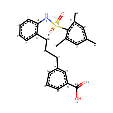 Cc1cc(C)c(S(=O)(=O)Nc2ccccc2CCCc2cccc(C(=O)O)c2)c(C)c1